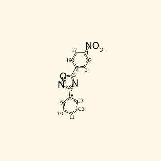 O=[N+]([O-])c1ccc(-c2nc(-c3ccccc3)no2)cc1